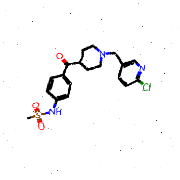 CS(=O)(=O)Nc1ccc(C(=O)C2CCN(Cc3ccc(Cl)nc3)CC2)cc1